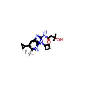 CC(C)(O)CC(=O)Nc1nc2cc(C3CC3)c(C(F)(F)F)nc2n1C1CCC1